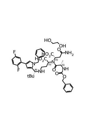 C[C@H](NC(=O)OCc1ccccc1)C(=O)N([C@@H](CCN[C@@H](c1cc(-c2cc(F)ccc2F)cn1Cc1ccccc1)C(C)(C)C)C(=O)O)[C@@H](CC(N)=O)C(=O)O.OCCO